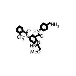 COCc1nc2c(C(=O)Nc3ccc(CN)cc3)cc(NC(=O)c3ccccc3C(F)(F)F)cc2[nH]1